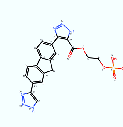 O=C(OCCOP(=O)(O)O)c1[nH]nnc1-c1ccc2c(c1)Cc1cc(-c3c[nH]nn3)ccc1-2